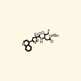 CCC1(C(=O)NC(CC(=O)OC(C)(C)C)C(=O)CF)CC(c2ccnc3ccccc23)=NO1